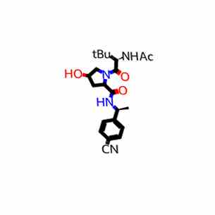 CC(=O)N[C@H](C(=O)N1CC(O)CC1C(=O)N[C@@H](C)c1ccc(C#N)cc1)C(C)(C)C